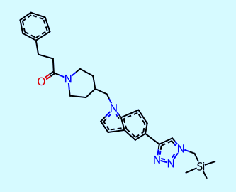 C[Si](C)(C)Cn1cc(-c2ccc3c(ccn3CC3CCN(C(=O)CCc4ccccc4)CC3)c2)nn1